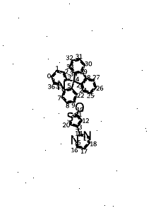 c1ccc(C2(c3cccc(Oc4cc(-c5ncccn5)cs4)c3)c3ccccc3-c3ccccc32)nc1